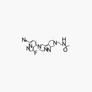 CC(=O)NCCN1Cc2nn3c(c2C[C@@H]1C)CN(c1ccc(C#N)n2ncc(F)c12)C[C@H]3C